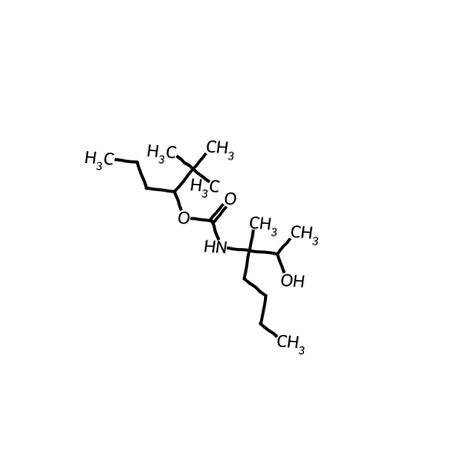 CCCCC(C)(NC(=O)OC(CCC)C(C)(C)C)C(C)O